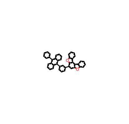 c1ccc(-c2c3ccccc3c(-c3cccc(-c4cc5oc6ccccc6c5c5c4oc4ccccc45)c3)c3ccccc23)cc1